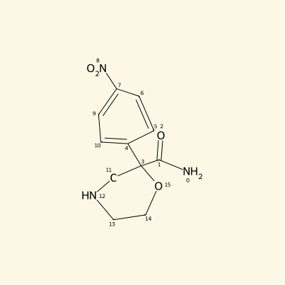 NC(=O)C1(c2ccc([N+](=O)[O-])cc2)CNCCO1